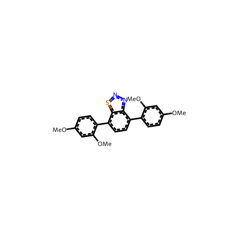 COc1ccc(-c2ccc(-c3ccc(OC)cc3OC)c3snnc23)c(OC)c1